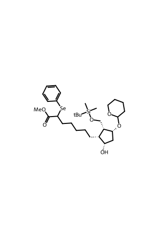 COC(=O)C(CCCCC[C@@H]1[C@H](CO[Si](C)(C)C(C)(C)C)[C@H](OC2CCCCO2)C[C@@H]1O)[Se]c1ccccc1